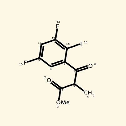 COC(=O)C(C)C(=O)c1cc(F)cc(F)c1I